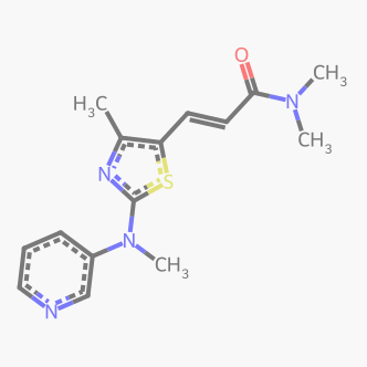 Cc1nc(N(C)c2cccnc2)sc1C=CC(=O)N(C)C